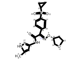 Cc1cc(NC(=O)/C(=N/O[C@@H]2CCOC2)c2ccc(S(=O)(=O)C3CC3)cc2)n[nH]1